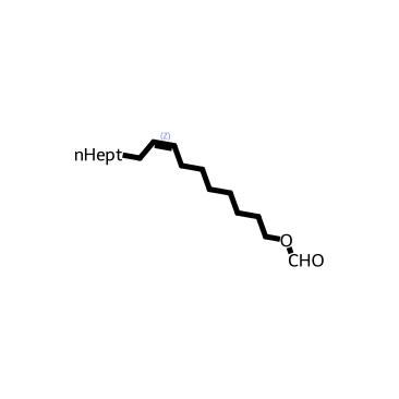 CCCCCCCC/C=C\CCCCCCCOC=O